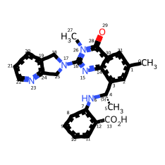 Cc1cc([C@H](C)Nc2ccccc2C(=O)O)c2nc(N3Cc4cccnc4C3)n(C)c(=O)c2c1